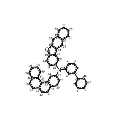 c1ccc(-c2cccc(N(c3ccc4oc5cc6ccccc6cc5c4c3)c3ccc4ccc5ccc6ccccc6c5c4c3)c2)cc1